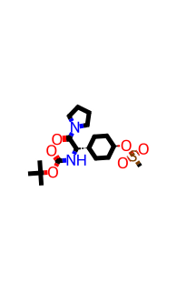 CC(C)(C)OC(=O)NC(C(=O)N1CCCC1)[C@H]1CC[C@@H](OS(C)(=O)=O)CC1